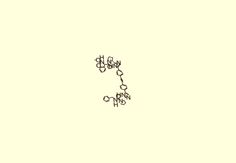 COC(=O)N[C@@H](C(=O)N1CCC[C@H]1c1ncc(-c2ccc(C#Cc3ccc(-c4cnc([C@@H]5CCCN5C(=O)NCc5ccccc5)[nH]4)cc3)cc2)[nH]1)c1ccccc1